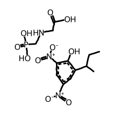 CCC(C)c1cc([N+](=O)[O-])cc([N+](=O)[O-])c1O.O=C(O)CNCP(=O)(O)O